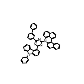 c1ccc(-c2cccc(-c3nc(-c4cccc5c4c4ccccc4n5-c4ccccc4)nc(N4c5ccc6ccccc6c5-c5cccc6cccc4c56)n3)c2)cc1